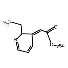 CCCCOC(=O)C=C1C=CC=NC1CN